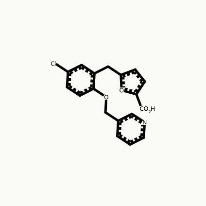 O=C(O)c1ccc(Cc2cc(Cl)ccc2OCc2cccnc2)o1